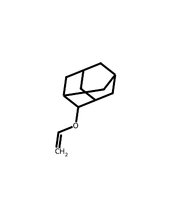 C=COC1C2CC3CC(C2)CC1C3